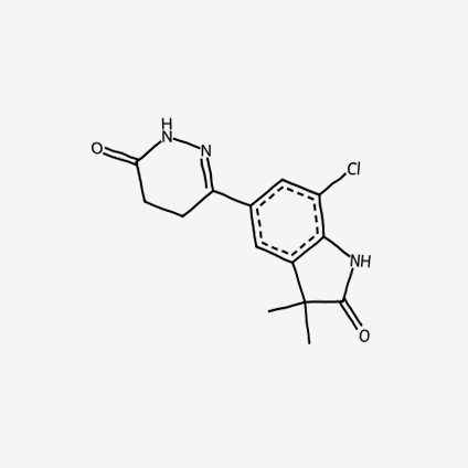 CC1(C)C(=O)Nc2c(Cl)cc(C3=NNC(=O)CC3)cc21